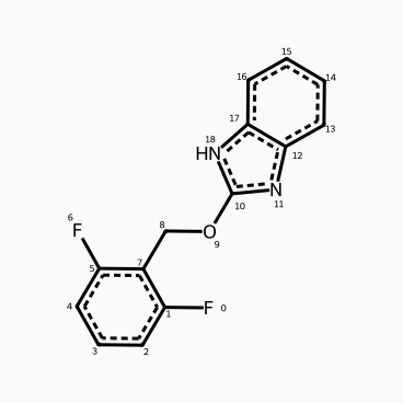 Fc1cccc(F)c1COc1nc2ccccc2[nH]1